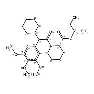 CC[C@H](C)OC(=O)[C@@H]1CCCCN1C(=O)C(c1cc(OC)c(OC)c(OC)c1)C1CCCCC1